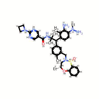 CC[C@@H]1CN(Cc2cc(C(c3ccc(N(N)CC)c(N)c3C)C(C)(C)NC(=O)c3cnc(N4CCC4)nc3)ccc2C)[S+]([O-])c2ccccc2O1